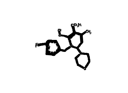 CCOC1=C(C(=O)O)C(C)=CC(N2CCOCC2)N1Cc1ccc(F)cc1